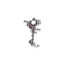 CC[C@H]1OC(=O)[C@H](C)[C@@H](O[C@H]2C[C@@](C)(OC)[C@@H](OC(=O)NCCOCCSc3cc4c5c(c3)c(=O)c(C(=O)O)cn5CC4)[C@H](C)O2)[C@H](C)[C@@H](OC2O[C@H](C)C[C@H](N(C)C)[C@H]2O)[C@](C)(OC)C[C@@H](C)C(=O)[C@H](C)[C@@H](O)[C@]1(C)O